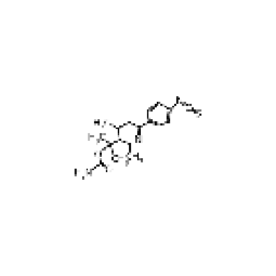 CCC(C(C)CC(=N)c1ccc(N=C=S)cc1)C(C)(C)OC(N)=O